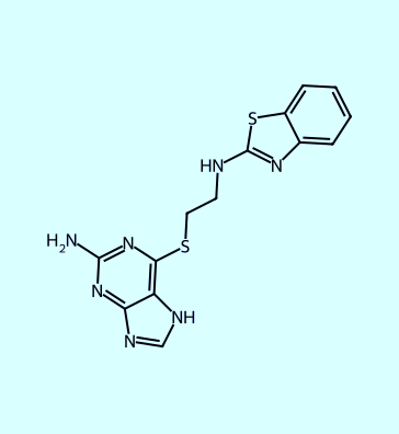 Nc1nc(SCCNc2nc3ccccc3s2)c2[nH]cnc2n1